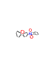 O=C1C2C3C=CC(C3)C2C(=O)N1c1ccc2c(c1)oc1ccccc12